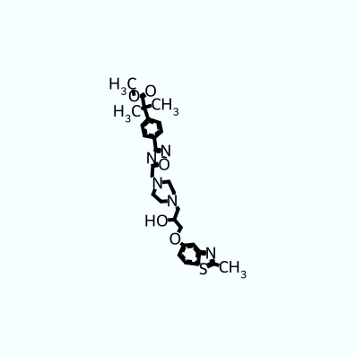 COC(=O)C(C)(C)c1ccc(-c2noc(CN3CCN(CC(O)COc4ccc5sc(C)nc5c4)CC3)n2)cc1